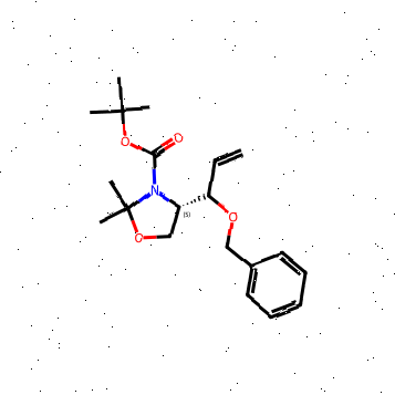 C=CC(OCc1ccccc1)[C@@H]1COC(C)(C)N1C(=O)OC(C)(C)C